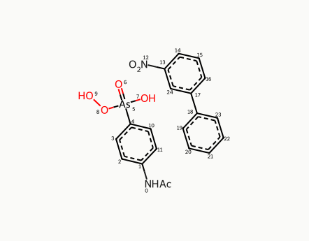 CC(=O)Nc1ccc([As](=O)(O)OO)cc1.O=[N+]([O-])c1cccc(-c2ccccc2)c1